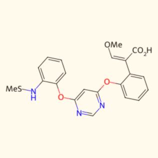 COC=C(C(=O)O)c1ccccc1Oc1cc(Oc2ccccc2NSC)ncn1